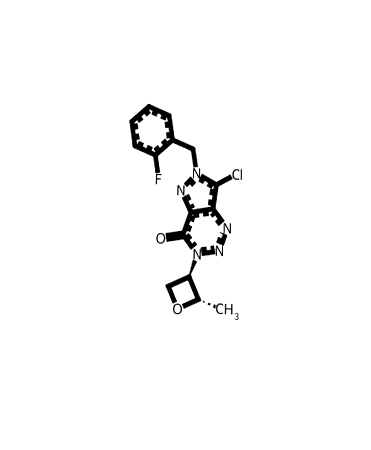 C[C@@H]1OC[C@H]1n1nnc2c(Cl)n(Cc3ccccc3F)nc2c1=O